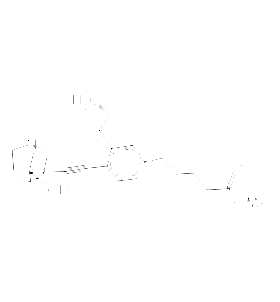 C=CCc1cc(CCCCC(=O)OC)ccc1C#CC1(O)CN2CCC1CC2